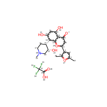 Cc1cc(-c2cc(=O)c3c(O)cc(O)c([C@H]4CCN(C)C[C@H]4O)c3o2)c(C)o1.O=C(O)C(F)(F)F